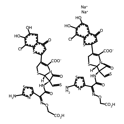 Nc1nc(/C(=N/OCC(=O)O)C(=O)N[C@]2(C=S)C(=O)N3C(C(=O)[O-])=C(c4cc(=O)c5cc(O)c(O)c(Cl)c5s4)CS[C@H]32)cs1.Nc1nc(/C(=N/OCC(=O)O)C(=O)N[C@]2(C=S)C(=O)N3C(C(=O)[O-])=C(c4cc(=O)c5cc(O)c(O)c(Cl)c5s4)CS[C@H]32)cs1.[Na+].[Na+]